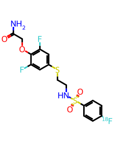 NC(=O)COc1c(F)cc(SCCNS(=O)(=O)c2ccc([18F])cc2)cc1F